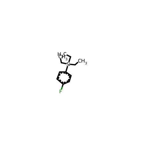 CC[Si](CC)(CC)c1ccc(F)cc1